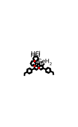 CCc1ccc(C2=CC[C]([Hf](=[GeH2])([C]3=C(C)C(c4ccc(CC)cc4)=CC3)([c]3ccccc3)[c]3ccccc3)=C2C)cc1.Cl.Cl